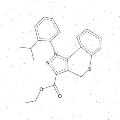 CCOC(=O)c1nn(-c2ccccc2C(C)C)c2c1CSc1ccccc1-2